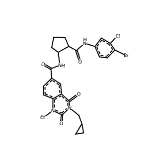 CCn1c(=O)n(CC2CC2)c(=O)c2cc(C(=O)NC3CCCC3C(=O)Nc3ccc(Br)c(Cl)c3)ccc21